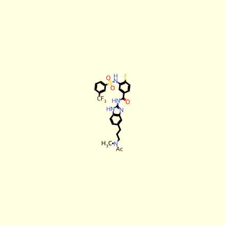 CC(=O)N(C)CCCc1ccc2[nH]c(NC(=O)c3ccc(F)c(NS(=O)(=O)c4cccc(C(F)(F)F)c4)c3)nc2c1